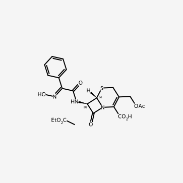 CC(=O)OCC1=C(C(=O)O)N2C(=O)[C@@H](NC(=O)C(=NO)c3ccccc3)[C@@H]2SC1.CCOC(C)=O